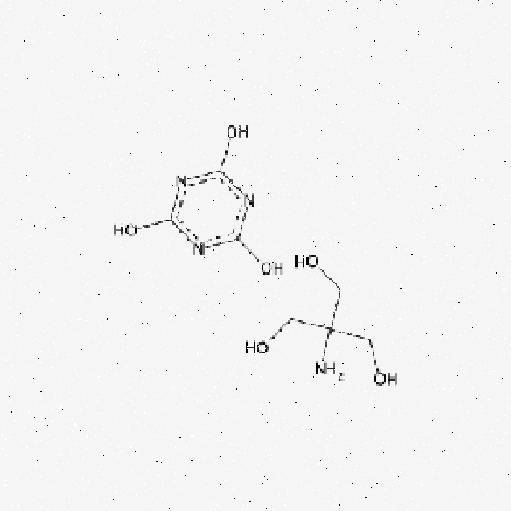 NC(CO)(CO)CO.Oc1nc(O)nc(O)n1